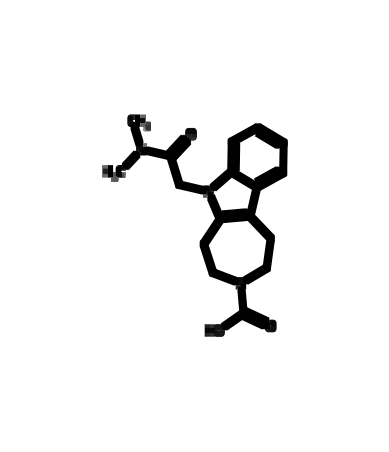 CN(C)C(=O)Cn1c2c(c3ccccc31)CCN(C(=O)O)CC2